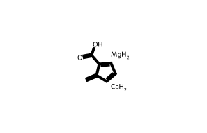 C=C1C=CC=C1C(=O)O.[CaH2].[MgH2]